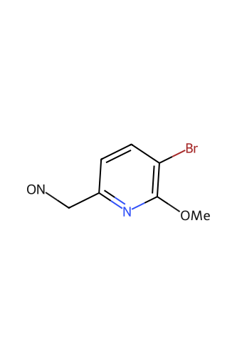 COc1nc(CN=O)ccc1Br